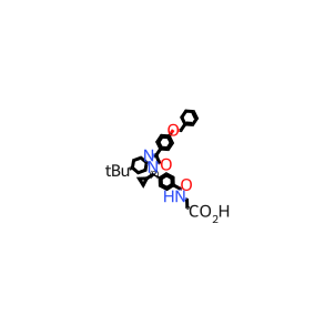 CC(C)(C)C1CCC2(CC1)N=C(c1ccc(OCC3=CC=CCC3)cc1)C(=O)N2[C@@H](c1ccc(C(=O)NCCC(=O)O)cc1)C1CC1